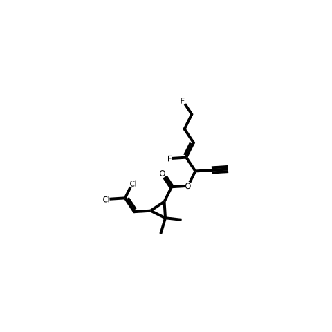 C#CC(OC(=O)C1C(C=C(Cl)Cl)C1(C)C)C(F)=CCCF